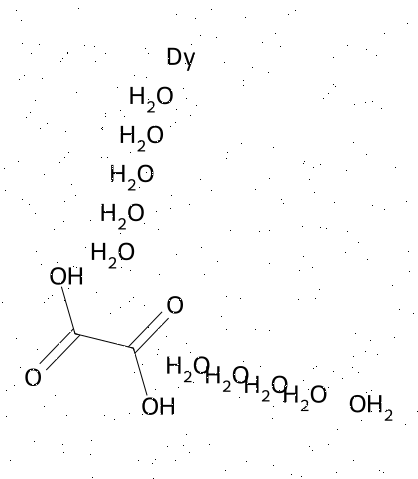 O.O.O.O.O.O.O.O.O.O.O=C(O)C(=O)O.[Dy]